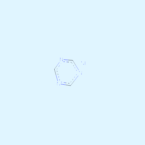 N.[c]1ncncn1